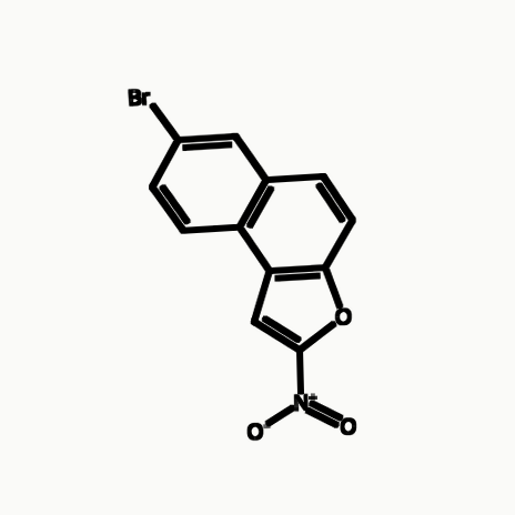 O=[N+]([O-])c1cc2c(ccc3cc(Br)ccc32)o1